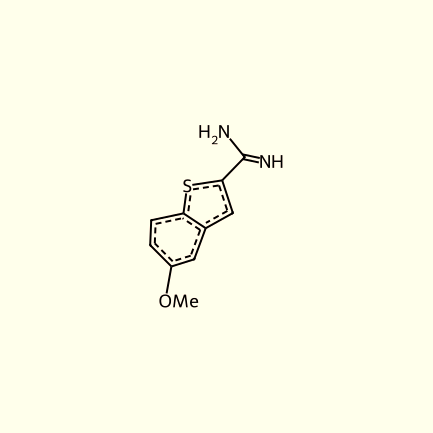 COc1ccc2sc(C(=N)N)cc2c1